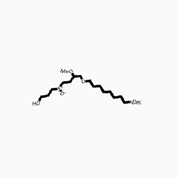 CCCCCCCCCCCCCCCCCCOCC(CC[S+]([O-])CCCO)OC